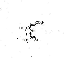 O=C(O)CC[C@H](NN[C@@H](CS)C(=O)O)C(=O)O